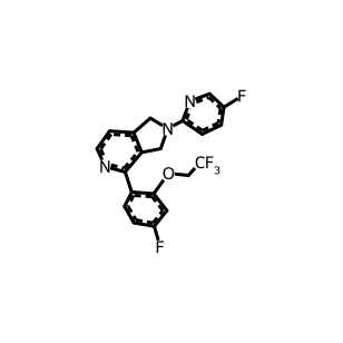 Fc1ccc(N2Cc3ccnc(-c4ccc(F)cc4OCC(F)(F)F)c3C2)nc1